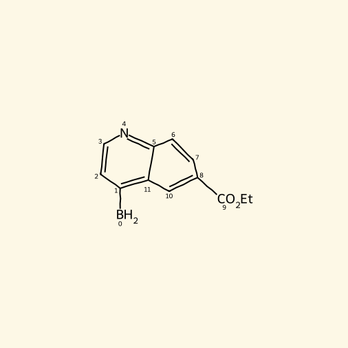 Bc1ccnc2ccc(C(=O)OCC)cc12